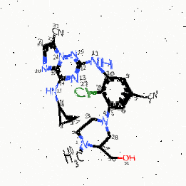 CN1CCN(c2cc(C#N)cc(Nc3nc(NC4CC4)c4ncc(C#N)n4n3)c2Cl)CC1CO